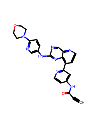 C#CC(=O)Nc1ccnc(-c2ccnc3cnc(Nc4ccc(N5CCOCC5)nc4)nc23)c1